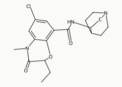 CCC1Oc2c(C(=O)NC3CN4CCC3CC4)cc(Cl)cc2N(C)C1=O